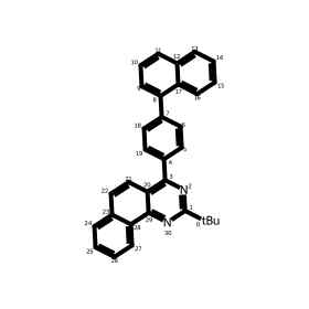 CC(C)(C)c1nc(-c2ccc(-c3cccc4ccccc34)cc2)c2ccc3ccccc3c2n1